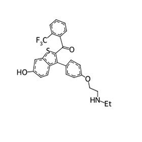 CCNCCOc1ccc(-c2c(C(=O)c3ccccc3C(F)(F)F)sc3cc(O)ccc23)cc1